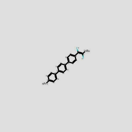 CCCCC(F)=C(F)c1ccc(-c2ccc(-c3ccc(CCC)cc3)cc2)cc1